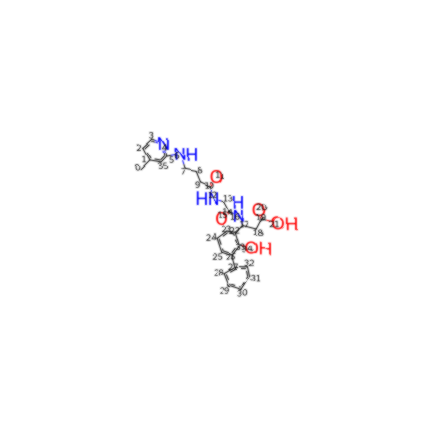 Cc1ccnc(NCCCC(=O)NCC(=O)NC(CC(=O)O)c2cccc(-c3ccccc3)c2O)c1